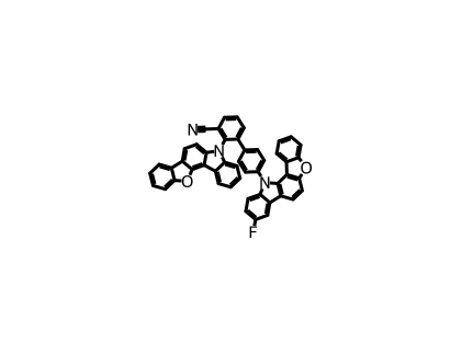 N#Cc1cccc(-c2ccc(-n3c4ccc(F)cc4c4ccc5oc6ccccc6c5c43)cc2)c1-n1c2ccccc2c2c3oc4ccccc4c3ccc21